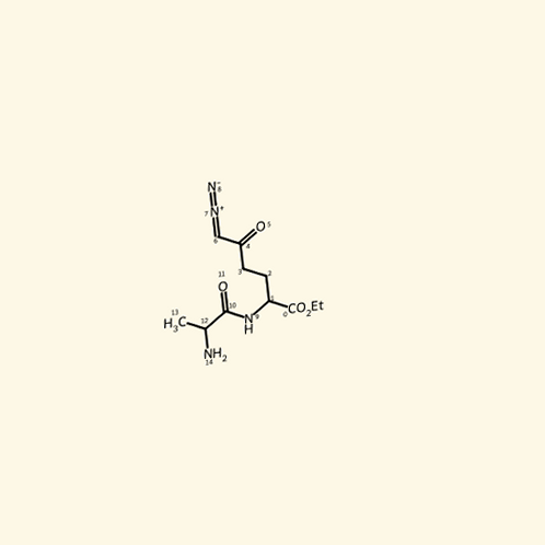 CCOC(=O)C(CCC(=O)C=[N+]=[N-])NC(=O)C(C)N